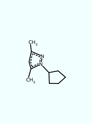 Cc1cc(C)n(C2CCCC2)n1